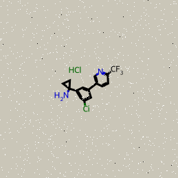 Cl.NC1(c2cc(Cl)cc(-c3ccc(C(F)(F)F)nc3)c2)CC1